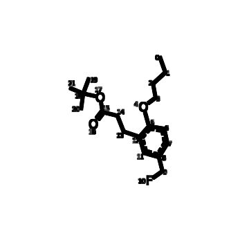 CCCCOc1ccc(CF)cc1CCC(=O)OC(C)(C)C